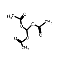 CC(=O)OC(OC(C)=O)OC(C)=O